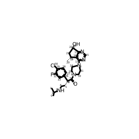 CC(C)NCC[C@@H](C(=O)N1CCN(c2ncnc3c2[C@H](C)C[C@@H]3O)CC1)c1ccc(Cl)c(F)c1